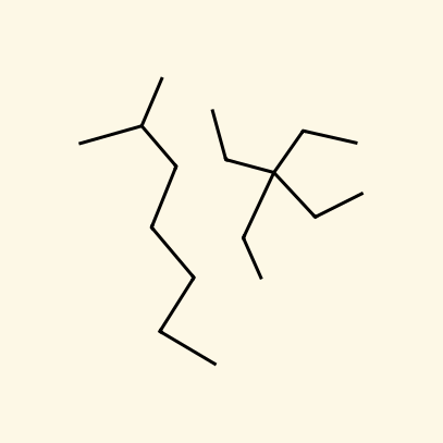 CCC(CC)(CC)CC.CCCCCC(C)C